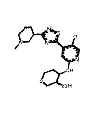 CN1CCCC(c2nsc(-c3cc(NC4CCOCC4O)ncc3Cl)n2)C1